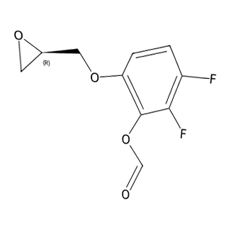 O=COc1c(OC[C@H]2CO2)ccc(F)c1F